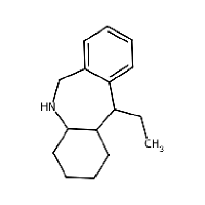 CCC1c2ccccc2CNC2CCCCC21